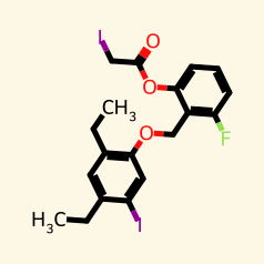 CCc1cc(CC)c(OCc2c(F)cccc2OC(=O)CI)cc1I